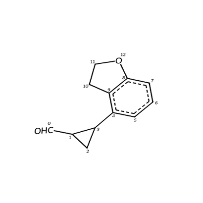 O=CC1CC1c1cccc2c1CCO2